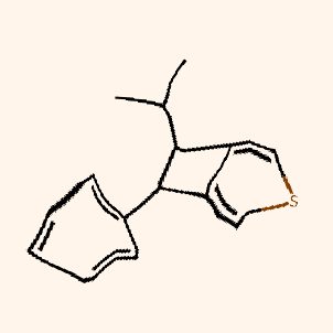 CC(C)C1c2cscc2C1c1ccccc1